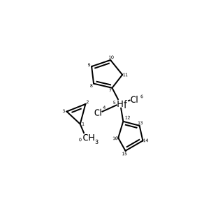 CC1C=C1.[Cl][Hf]([Cl])([C]1=CC=CC1)[C]1=CC=CC1